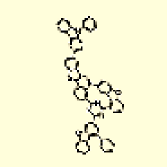 c1ccc(-c2nc(-c3cc(-c4ccccc4)c4c(c3)oc3ccccc34)nc(-c3cccc4oc5ccc(-c6ccc7sc8ccc(-c9ccc%10c(c9)c9ccccc9n%10-c9ccccc9)cc8c7c6)cc5c34)n2)cc1